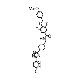 COc1ccc(COc2c(F)cc(C(=O)NCC3CCC(c4nc(-c5ccc(Cl)nn5)no4)CC3)cc2F)cc1